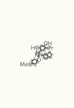 COc1ccc(Oc2nnc(-c3cc(C(C)C)c(O)cc3O)n2-c2ccc3c(c2)CCC3)cc1